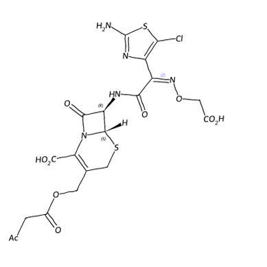 CC(=O)CC(=O)OCC1=C(C(=O)O)N2C(=O)[C@@H](NC(=O)/C(=N\OCC(=O)O)c3nc(N)sc3Cl)[C@@H]2SC1